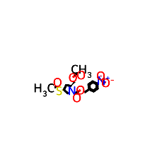 CC(=O)OC[C@@H]1C[C@H](SC(C)=O)CN1C(=O)OCc1ccc([N+](=O)[O-])cc1